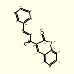 O=C(C=Cc1ccccc1)c1cc2ccccc2oc1=O